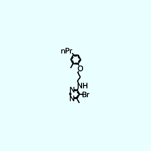 CCCc1ccc(OCCCNc2ncnc(C)c2Br)c(C)c1